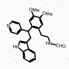 COc1cc(CCNC=O)c(C(Cc2c[nH]c3ccccc23)c2ccncc2)cc1OC